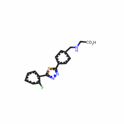 O=C(O)CNCc1ccc(-c2nnc(-c3ccccc3F)s2)cc1